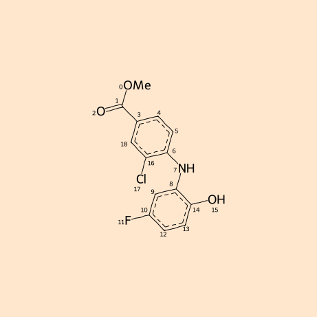 COC(=O)c1ccc(Nc2cc(F)ccc2O)c(Cl)c1